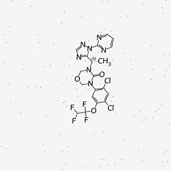 C[C@@H](c1ncnn1-c1ncccn1)N1COCN(c2cc(OC(F)(F)C(F)F)c(Cl)cc2Cl)C1=O